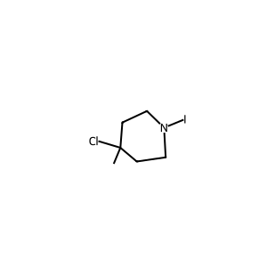 CC1(Cl)CCN(I)CC1